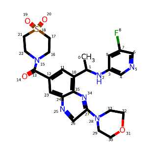 CC(Nc1cncc(F)c1)c1cc(C(=O)N2CCS(=O)(=O)CC2)cc2ncc(N3CCOCC3)nc12